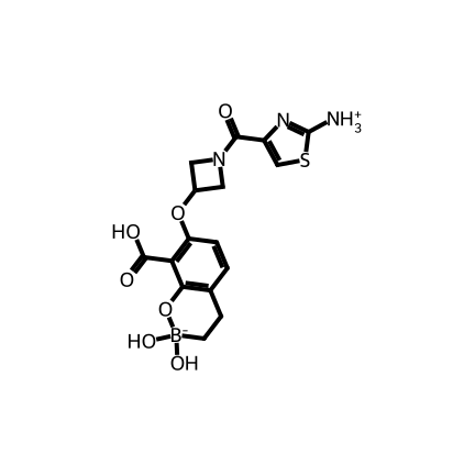 [NH3+]c1nc(C(=O)N2CC(Oc3ccc4c(c3C(=O)O)O[B-](O)(O)CC4)C2)cs1